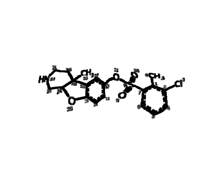 Cc1c(Cl)cccc1S(=O)(=O)Oc1ccc2c(c1)C1(C)CCNCC1O2